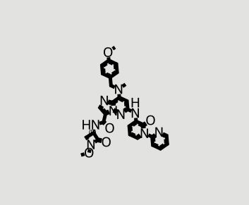 COc1ccc(CN(C)c2cc(Nc3cccn(-c4ccccn4)c3=O)nn3c(C(=O)N[C@@H]4CN(OC)C4=O)cnc23)cc1